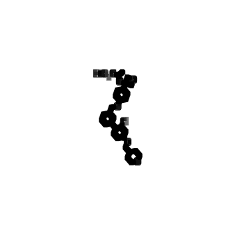 CCOC(=O)C(C)OC1(c2ccc(OCc3cccc(-c4ccc(OCC5CCOCC5)cc4Cl)c3)cc2)COC1